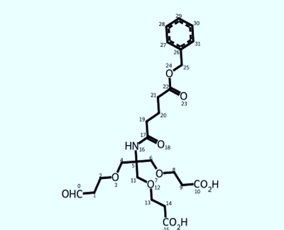 O=CCCOCC(COCCC(=O)O)(COCCC(=O)O)NC(=O)CCCC(=O)OCc1ccccc1